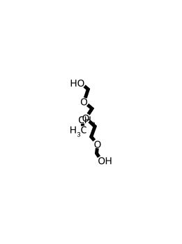 CC.OCOCCOCOCO